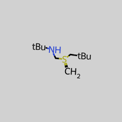 C=S(CNC(C)(C)C)CC(C)(C)C